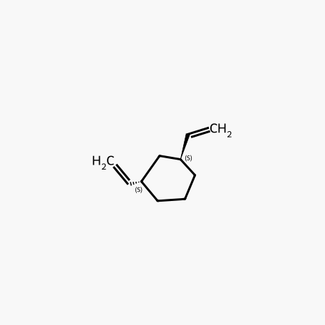 C=C[C@H]1CCC[C@H](C=C)C1